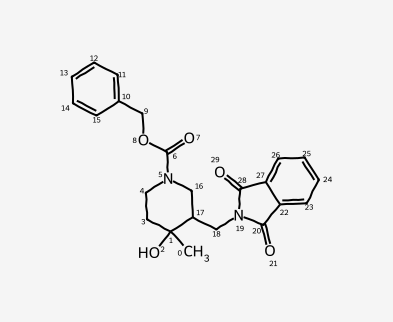 CC1(O)CCN(C(=O)OCc2ccccc2)CC1CN1C(=O)c2ccccc2C1=O